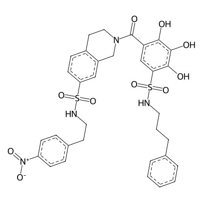 O=C(c1cc(S(=O)(=O)NCCCc2ccccc2)c(O)c(O)c1O)N1CCc2ccc(S(=O)(=O)NCCc3ccc([N+](=O)[O-])cc3)cc2C1